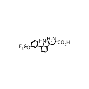 N[C@@H](Cc1c[nH]c2c(-c3cccc(OC(F)(F)F)c3)cccc12)C(=O)O